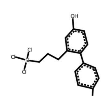 Cc1ccc(-c2ccc(O)cc2CCC[Si](Cl)(Cl)Cl)cc1